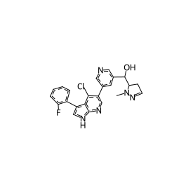 CN1N=CCC1C(O)c1cncc(-c2cnc3[nH]cc(-c4ccccc4F)c3c2Cl)c1